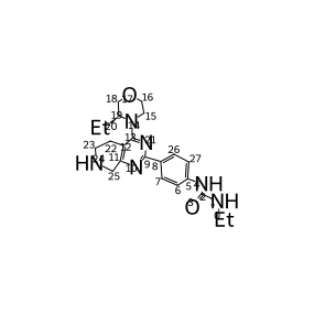 CCNC(=O)Nc1ccc(-c2nc3c(c(N4CCOC[C@@H]4CC)n2)CCNC3)cc1